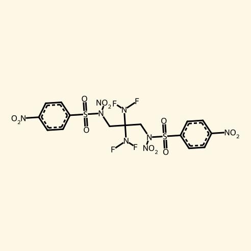 O=[N+]([O-])c1ccc(S(=O)(=O)N(CC(CN([N+](=O)[O-])S(=O)(=O)c2ccc([N+](=O)[O-])cc2)(N(F)F)N(F)F)[N+](=O)[O-])cc1